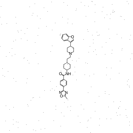 Cc1nc(-c2ccc(C(=O)NC3CCC(CCN4CCC(c5coc6ccccc56)CC4)CC3)cc2)no1